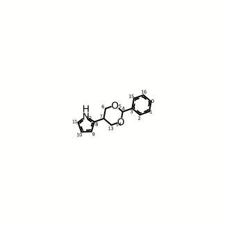 c1ccc(C2OCC(c3ccc[nH]3)CO2)cc1